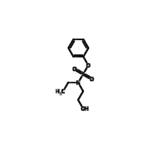 CCN(CCO)S(=O)(=O)Oc1ccccc1